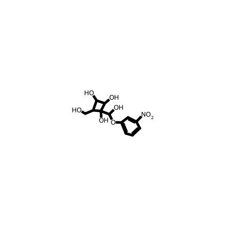 O=[N+]([O-])c1cccc(OC(O)C2(O)C(O)C(O)C2CO)c1